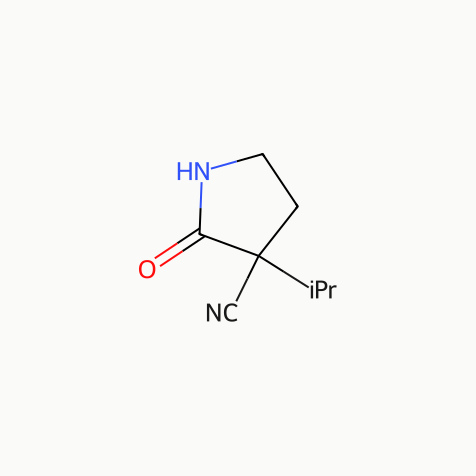 CC(C)C1(C#N)CCNC1=O